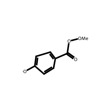 COOC(=O)c1ccc([O])cc1